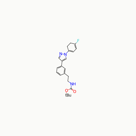 CC(C)(C)OC(=O)NCCc1cccc(-c2cnn(C3=CC=C(F)CC3)c2)c1